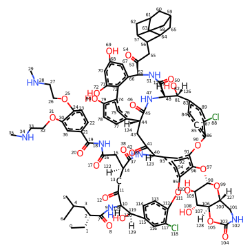 CC[C@H](CC(C)C)C(=O)N[C@H]1C(=O)C[C@@H](CC(=O)NC(=O)c2ccc(OCCNC)c(OCCNC)c2)C(=O)N[C@H]2C(=O)C[C@H]3C(=O)N[C@H](C(=O)N[C@H](C(=O)CC4C5CC6CC(C5)CC4C6)c4cc(O)cc(O)c4-c4cc3ccc4O)[C@H](O)c3ccc(c(Cl)c3)Oc3cc2cc(c3O[C@@H]2O[C@@H]3CNC(=O)O[C@H]3[C@H](O)[C@H]2O)Oc2ccc(cc2Cl)[C@H]1O